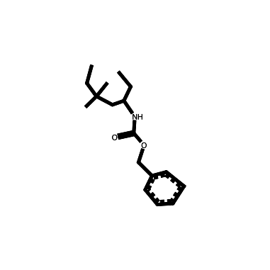 CCC(CC(C)(C)CC)NC(=O)OCc1ccccc1